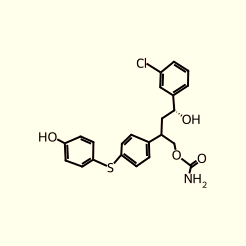 NC(=O)OCC(C[C@@H](O)c1cccc(Cl)c1)c1ccc(Sc2ccc(O)cc2)cc1